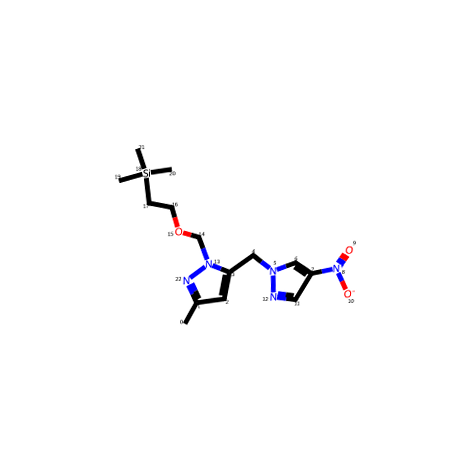 Cc1cc(Cn2cc([N+](=O)[O-])cn2)n(COCC[Si](C)(C)C)n1